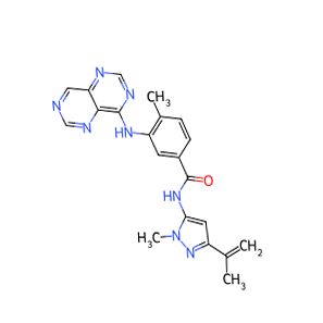 C=C(C)c1cc(NC(=O)c2ccc(C)c(Nc3ncnc4cncnc34)c2)n(C)n1